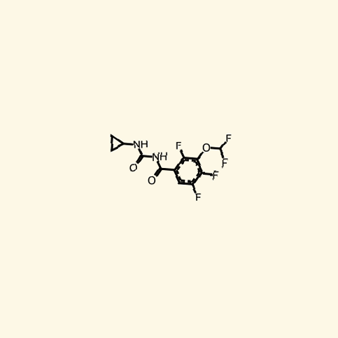 O=C(NC(=O)c1cc(F)c(F)c(OC(F)F)c1F)NC1CC1